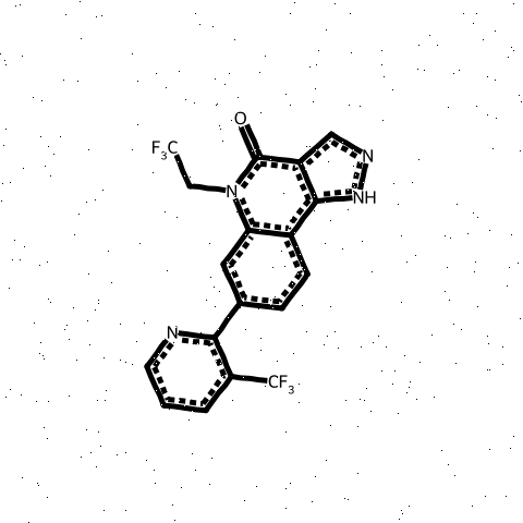 O=c1c2cn[nH]c2c2ccc(-c3ncccc3C(F)(F)F)cc2n1CC(F)(F)F